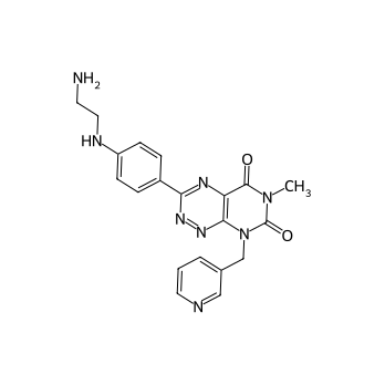 Cn1c(=O)c2nc(-c3ccc(NCCN)cc3)nnc2n(Cc2cccnc2)c1=O